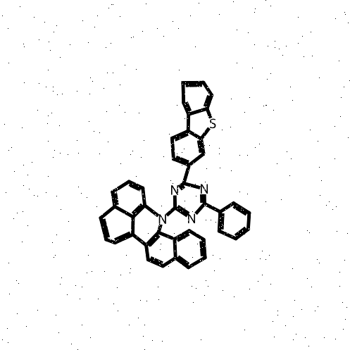 c1ccc(-c2nc(-c3ccc4c(c3)sc3ccccc34)nc(N3c4c(ccc5ccccc45)-c4cccc5cccc3c45)n2)cc1